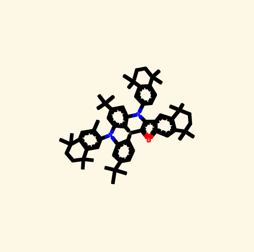 Cc1cc2c(cc1N1c3cc(C(C)(C)C)ccc3B3c4oc5cc6c(cc5c4N(c4ccc5c(c4)C(C)(C)CCC5(C)C)c4cc(C(C)(C)C)cc1c43)C(C)(C)CCC6(C)C)C(C)(C)CCC2(C)C